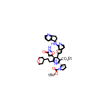 CCOC(=O)C1=C([C@@H]2CCCN2C(=O)OC(C)(C)C)NC(CCC2CCOCC2)=C(c2cc(=O)[nH]o2)C1c1cc2ccnc(N[C@@H]3CCc4ncccc43)c2s1